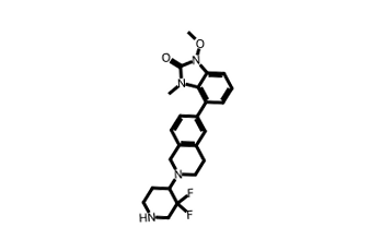 COn1c(=O)n(C)c2c(-c3ccc4c(c3)CCN(C3CCNCC3(F)F)C4)cccc21